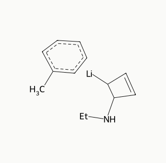 Cc1ccccc1.[Li][CH]1C=CC1NCC